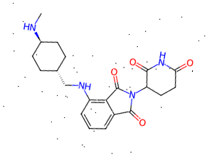 CN[C@H]1CC[C@H](CNc2cccc3c2C(=O)N(C2CCC(=O)NC2=O)C3=O)CC1